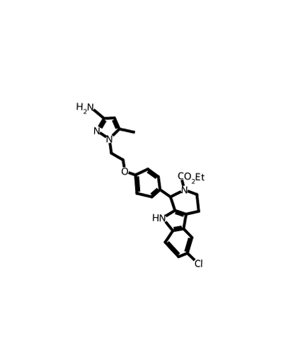 CCOC(=O)N1CCc2c([nH]c3ccc(Cl)cc23)C1c1ccc(OCCn2nc(N)cc2C)cc1